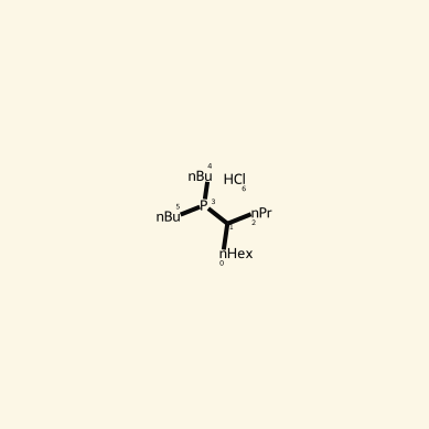 CCCCCCC(CCC)P(CCCC)CCCC.Cl